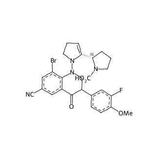 COc1ccc(C2CN(N3CCC=C3[C@@H]3CCCN3C(=O)O)c3c(Br)cc(C#N)cc3C2=O)cc1F